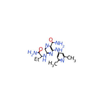 CCC(Nc1cnc(C(N)=O)c(Nc2cc(C)nc(C)c2)n1)C(N)=O